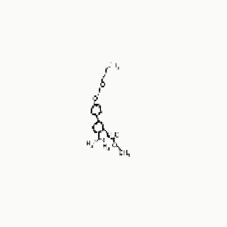 CCCCOCCOc1ccc(-c2ccc(C(C)C)c(/C=C/C(=O)OCC)c2)cc1